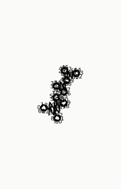 c1ccc(-c2nc(-c3ccccc3)nc(-n3c4ccccc4c4c(-c5cccc6c5c5ccccc5n6-c5ccc6c(c5)c5ccccc5n6-c5ccccc5)cccc43)n2)cc1